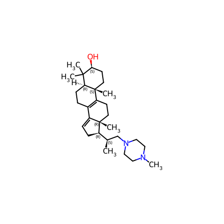 C[C@H](CN1CCN(C)CC1)[C@H]1CC=C2C3=C(CC[C@@]21C)[C@@]1(C)CC[C@H](O)C(C)(C)[C@@H]1CC3